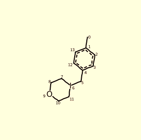 Cc1ccc(CI2CCOCC2)cc1